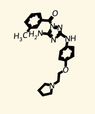 Cc1cccc(C(=O)n2nc(Nc3ccc(OCCN4CCCC4)cc3)nc2N)c1